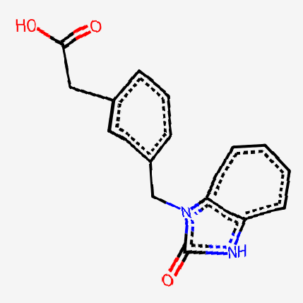 O=C(O)Cc1cccc(Cn2c(=O)[nH]c3ccccc32)c1